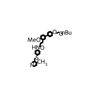 CCCCOCCOc1ccc(-c2ccc(OC)c(/C=C/C(=O)Nc3ccc(SCc4cnccc4C)cc3)c2)cc1